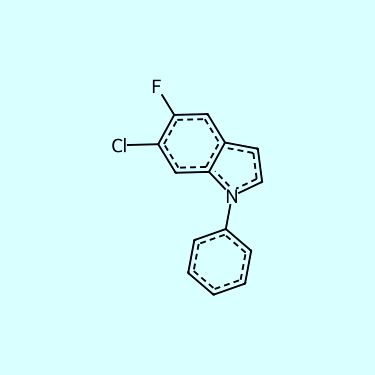 Fc1cc2ccn(-c3ccccc3)c2cc1Cl